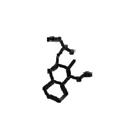 CCCCCCC[S+]([O-])Cc1nc2ccccc2c(OCCCC)c1C